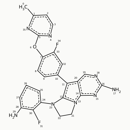 Cc1ccnc(Oc2ccc(-c3c4n(c5nc(N)ncc35)CCN4c3cccc(N)c3F)cc2F)n1